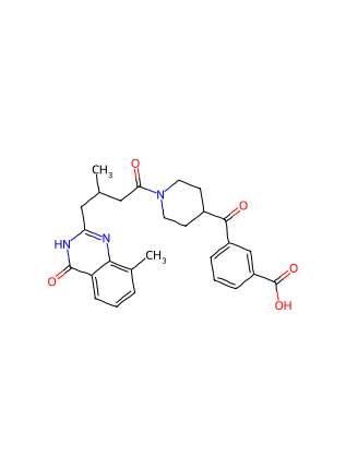 Cc1cccc2c(=O)[nH]c(CC(C)CC(=O)N3CCC(C(=O)c4cccc(C(=O)O)c4)CC3)nc12